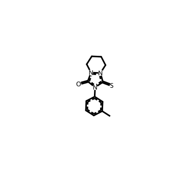 Cc1cccc(-n2c(=O)n3n(c2=S)CCCC3)c1